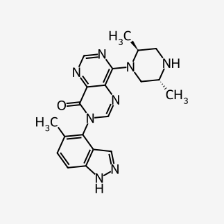 Cc1ccc2[nH]ncc2c1-n1cnc2c(N3C[C@@H](C)NC[C@@H]3C)ncnc2c1=O